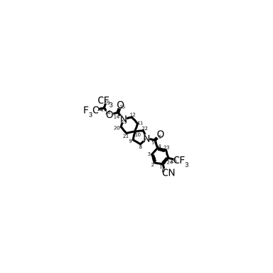 N#Cc1ccc(C(=O)N2CCC3(CCN(C(=O)OC(C(F)(F)F)C(F)(F)F)CC3)C2)cc1C(F)(F)F